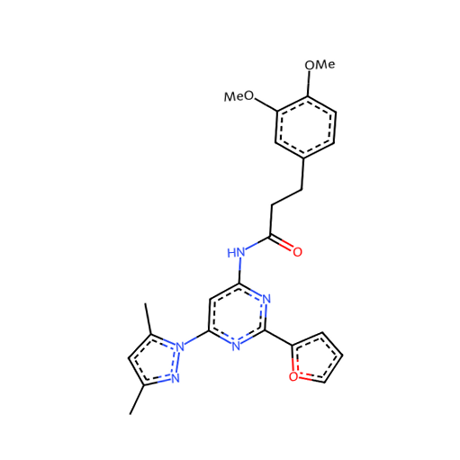 COc1ccc(CCC(=O)Nc2cc(-n3nc(C)cc3C)nc(-c3ccco3)n2)cc1OC